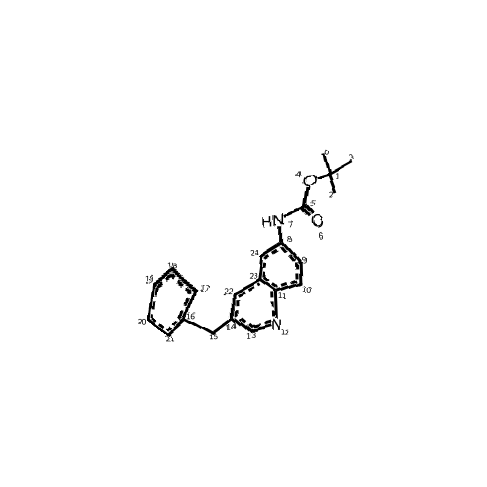 CC(C)(C)OC(=O)Nc1ccc2ncc(Cc3ccccc3)cc2c1